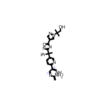 C=C(N)/N=C\C(=C/N)c1ccc(C(C)(c2noc(-c3cnn(C(C)(C)CO)c3)n2)C(C)C)cn1